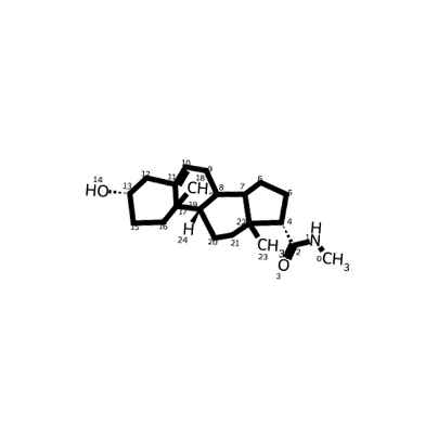 CNC(=O)[C@H]1CCC2C3CC=C4C[C@@H](O)CCC4(C)[C@H]3CCC21C